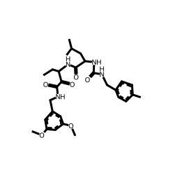 CCC(NC(=O)C(CC(C)C)NC(=O)NCc1ccc(C)cc1)C(=O)C(=O)NCc1cc(OC)cc(OC)c1